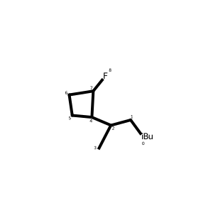 CCC(C)CC(C)C1CCC1F